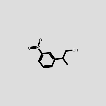 CC(CO)c1cccc([N+](=O)[O-])c1